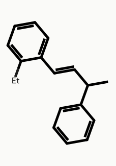 CCc1ccccc1/C=C/C(C)c1ccccc1